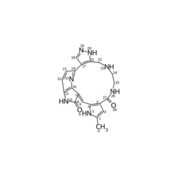 Cc1cc2c([nH]1)/C=C1\C(=O)Nc3ccc(nc31)-c1cn[nH]c1CNCCNC2=O